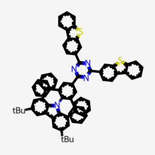 CC(C)(C)c1cc(-c2ccccc2)c2c(c1)c1cc(C(C)(C)C)cc(-c3ccccc3)c1n2-c1c(-c2ccccc2)cc(-c2nc(-c3ccc4c(c3)sc3ccccc34)nc(-c3ccc4c(c3)sc3ccccc34)n2)cc1-c1ccccc1